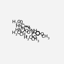 COCC[C@H]([C@@H]1C[C@H]1C(=O)N[C@@H]1CC(C)(C)Oc2cc(OC)ccc21)N1C(=N)NC(C)(C)CC1=O